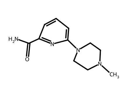 CN1CCN(c2cccc(C(N)=O)n2)CC1